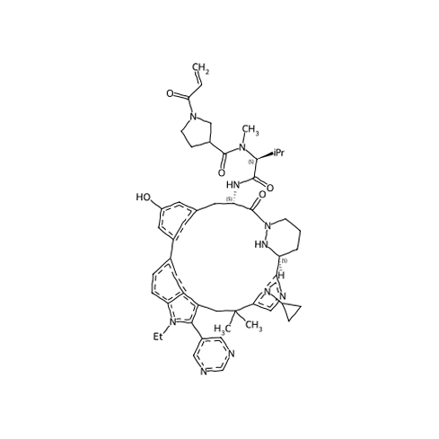 C=CC(=O)N1CCC(C(=O)N(C)[C@H](C(=O)N[C@H]2Cc3cc(O)cc(c3)-c3ccc4c(c3)c(c(-c3cncnc3)n4CC)CC(C)(C)c3cnc(n3C3CC3)[C@@H]3CCCN(N3)C2=O)C(C)C)C1